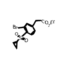 CCOC(=O)Cc1ccc(S(=O)(=O)C2CC2)c(Br)c1